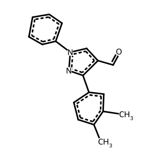 Cc1ccc(-c2nn(-c3ccccc3)cc2C=O)cc1C